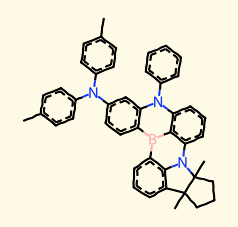 Cc1ccc(N(c2ccc(C)cc2)c2ccc3c(c2)N(c2ccccc2)c2cccc4c2B3c2cccc3c2N4C2(C)CCCC32C)cc1